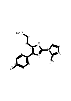 CCCc1nccn1-c1nc(-c2ccc(Cl)cc2)c(CCC(=O)O)o1